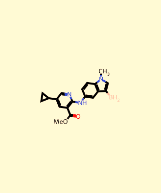 Bc1cn(C)c2ccc(Nc3ncc(C4CC4)cc3C(=O)OC)cc12